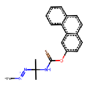 CC(C)(C)/N=N/C(C)(C)NC(=S)Oc1ccc2ccc3ccccc3c2c1